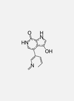 C=N/C=C(\C=C/C)c1c[nH]c(=O)c2[nH]cc(O)c12